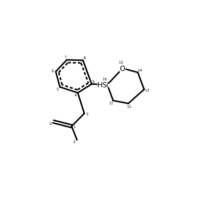 C=C(C)Cc1ccccc1[SiH]1CCCCO1